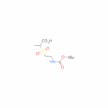 CC(C(=O)O)S(=O)(=O)CCNC(=O)OC(C)(C)C